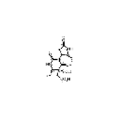 CCCCCCCCC1(CC(=O)O)C(=O)NC(=O)N(C2CC(=O)NC2=O)C1=O